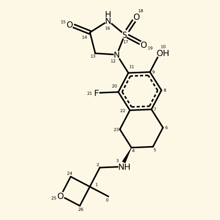 CC1(CN[C@@H]2CCc3cc(O)c(N4CC(=O)NS4(=O)=O)c(F)c3C2)COC1